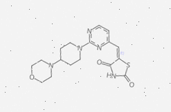 O=C1NC(=O)/C(=C\c2ccnc(N3CCC(N4CCOCC4)CC3)n2)S1